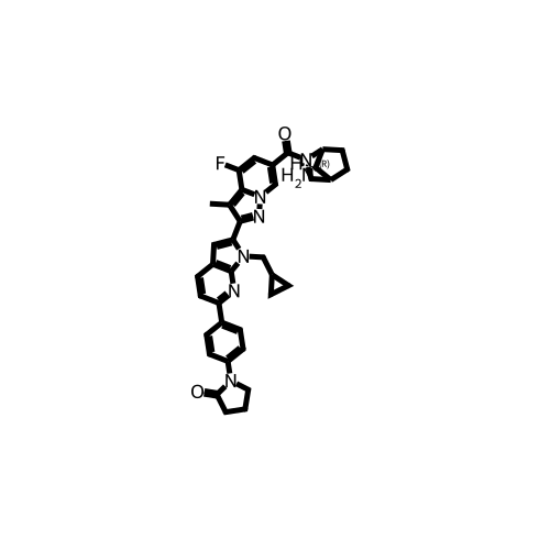 Cc1c(-c2cc3ccc(-c4ccc(N5CCCC5=O)cc4)nc3n2CC2CC2)nn2cc(C(=O)N3CC4CCC3[C@@H]4N)cc(F)c12